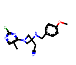 COc1ccc(CNC2(CC#N)CN(c3nc(Cl)ncc3C)C2)cc1